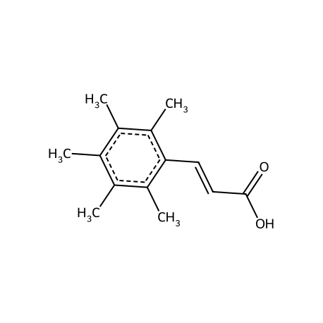 Cc1c(C)c(C)c(/C=C/C(=O)O)c(C)c1C